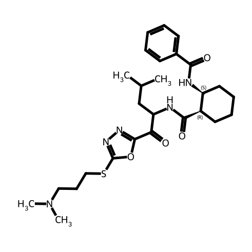 CC(C)CC(NC(=O)[C@@H]1CCCC[C@@H]1NC(=O)c1ccccc1)C(=O)c1nnc(SCCCN(C)C)o1